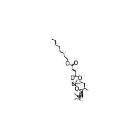 CCCCCCCCOC(=O)C=CC(=O)OCCC(C)[SiH](O[Si](C)(C)C)O[Si](C)(C)C